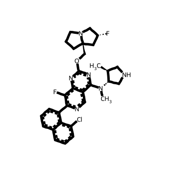 C[C@H]1CNC[C@@H]1N(C)c1nc(OC[C@@]23CCCN2C[C@H](F)C3)nc2c(F)c(-c3cccc4cccc(Cl)c34)ncc12